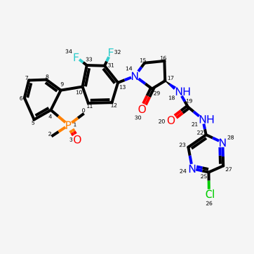 CP(C)(=O)c1ccccc1-c1ccc(N2CC[C@@H](NC(=O)Nc3cnc(Cl)cn3)C2=O)c(F)c1F